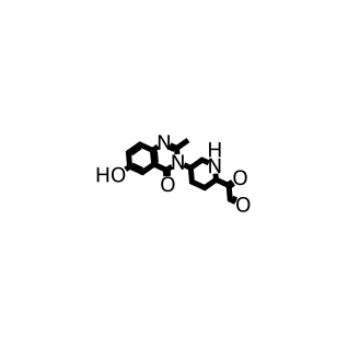 Cc1nc2ccc(O)cc2c(=O)n1C1CCC(C(=O)C=O)NC1